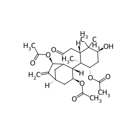 C=C1[C@@H]2C[C@H](OC(C)=O)[C@@H]3[C@](C2)(C(=O)C[C@@H]2C(C)(C)[C@@H](O)C[C@H](OC(C)=O)[C@]23C)[C@@H]1OC(C)=O